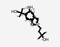 CC(C)(O)CCn1cc2cc(N)c(C(C)(C)O)cc2n1